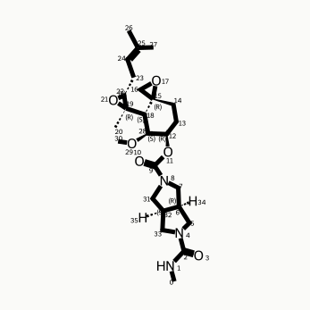 CNC(=O)N1C[C@@H]2CN(C(=O)O[C@@H]3CC[C@]4(CO4)[C@@H]([C@@]4(C)O[C@@H]4CC=C(C)C)[C@@H]3OC)C[C@@H]2C1